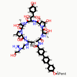 CCCCCOc1ccc(-c2ccc(-c3ccc(C(=O)N[C@H]4C[C@@H](N=O)C(NCCN(N)CCO)NC(=O)C5[C@@H](O)[C@@H](C)CN5C(=O)C([C@@H](C)O)NC(=O)C([C@H](O)[C@@H](O)c5ccc(O)cc5)NC(=O)C5C[C@@H](O)CN5C(=O)C([C@@H](C)O)NC4=O)cc3)cc2)cc1